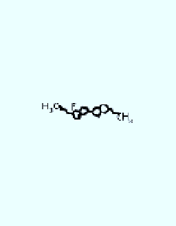 CC=CCCc1ccc2cc(C3CCC4CC(CCCC)CCC4C3)ccc2c1F